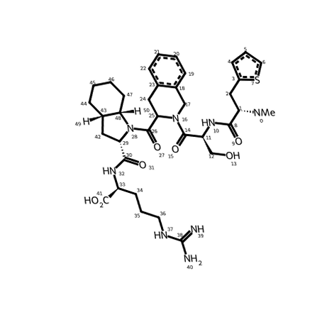 CN[C@@H](Cc1cccs1)C(=O)N[C@@H](CO)C(=O)N1Cc2ccccc2CC1C(=O)N1[C@H](C(=O)N[C@@H](CCCNC(=N)N)C(=O)O)C[C@@H]2CCCC[C@@H]21